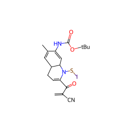 C=C(C#N)C(=O)C1=CCC2C=C(C)C(NC(=O)OC(C)(C)C)=CC2N1SI